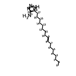 CCCCCCCCC=CCCCCCCCCc1[nH]nnc1N